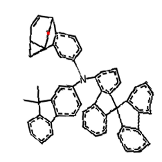 CC1(C)c2ccccc2-c2ccc(N(c3ccc4c(c3)C3C5C=CC4C=CC53)c3cccc4c3-c3ccccc3C43c4ccccc4-c4ccccc43)cc21